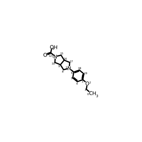 CCOc1ccc(N2CC3CN(C(=O)O)CC3C2)cc1